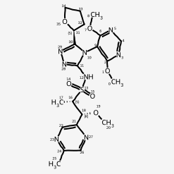 COc1ncnc(OC)c1-n1c(NS(=O)(=O)[C@@H](C)[C@H](OC)c2cnc(C)cn2)nnc1[C@@H]1CCCO1